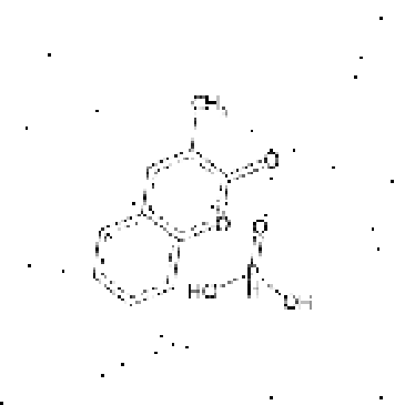 Cc1cc2ccccc2oc1=O.O=[PH](O)O